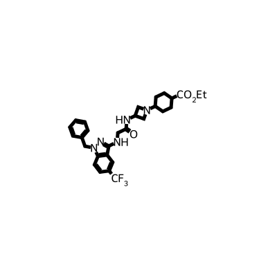 CCOC(=O)C1CCC(N2CC(NC(=O)CNc3nn(Cc4ccccc4)c4ccc(C(F)(F)F)cc34)C2)CC1